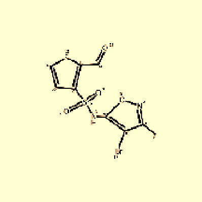 Cc1noc(NS(=O)(=O)c2ccsc2C=O)c1Br